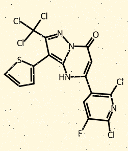 O=c1cc(-c2cc(F)c(Cl)nc2Cl)[nH]c2c(-c3cccs3)c(C(Cl)(Cl)Cl)nn12